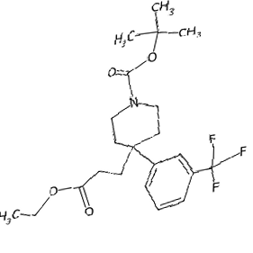 CCOC(=O)CCC1(c2cccc(C(F)(F)F)c2)CCN(C(=O)OC(C)(C)C)CC1